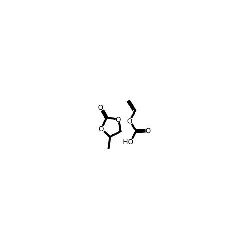 C=COC(=O)O.CC1COC(=O)O1